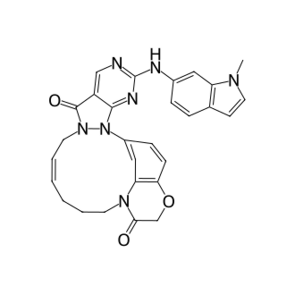 Cn1ccc2ccc(Nc3ncc4c(=O)n5n(c4n3)-c3ccc4c(c3)N(CCC/C=C\C5)C(=O)CO4)cc21